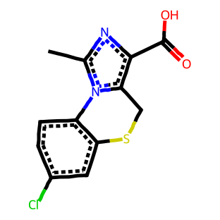 Cc1nc(C(=O)O)c2n1-c1ccc(Cl)cc1SC2